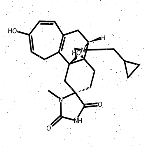 CN1C(=O)NC(=O)[C@@]12CC[C@@]1(O)[C@H]3CC4=C(CC=C(O)C=C4)[C@@]1(CCN3CC1CC1)C2